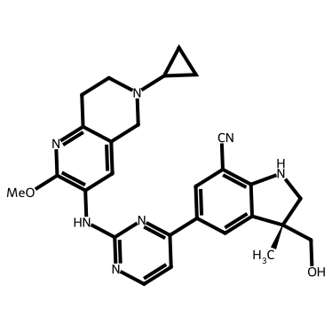 COc1nc2c(cc1Nc1nccc(-c3cc(C#N)c4c(c3)[C@@](C)(CO)CN4)n1)CN(C1CC1)CC2